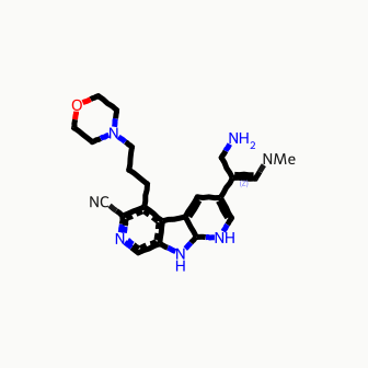 CN/C=C(\CN)C1=CNC2Nc3cnc(C#N)c(CCCN4CCOCC4)c3C2=C1